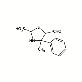 CC1(c2ccccc2)NC(S(=O)(=O)O)SC1C=O